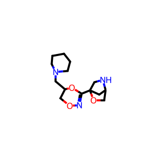 C1CCN(CC2CON=C(C34CNC(CO3)C4)O2)CC1